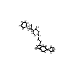 FC1CN(CCCc2c[nH]c3ccc(-n4cnnc4)cc23)CCC1NCc1ccccc1